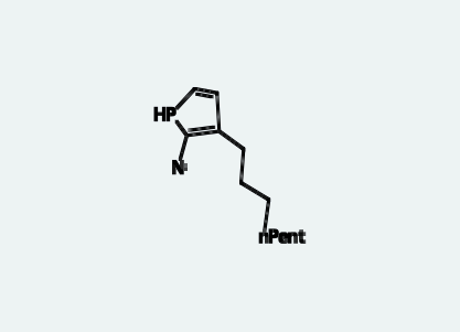 CCCCCCCCc1cc[pH]c1[N]